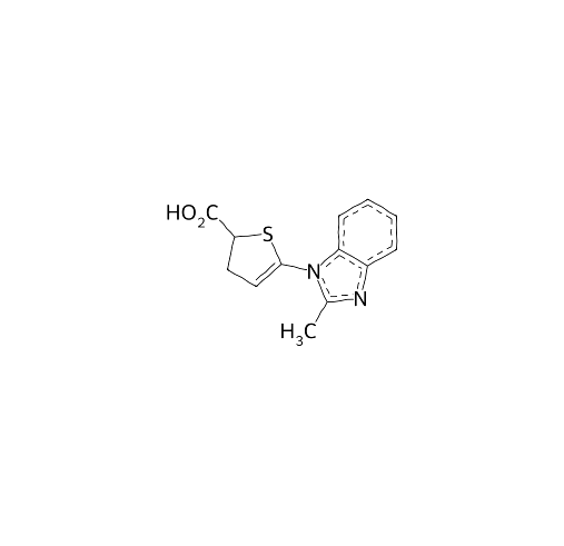 Cc1nc2ccccc2n1C1=CCC(C(=O)O)S1